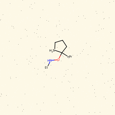 CCCC1(ONCC)CCC[SiH2]1